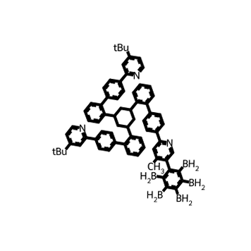 Bc1c(B)c(B)c(-c2cnc(-c3ccc(-c4ccccc4C4CC(c5ccccc5-c5ccc(-c6cc(C(C)(C)C)ccn6)cc5)CC(c5ccccc5-c5ccc(-c6cc(C(C)(C)C)ccn6)cc5)C4)cc3)cc2C)c(B)c1B